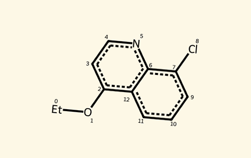 CCOc1ccnc2c(Cl)cccc12